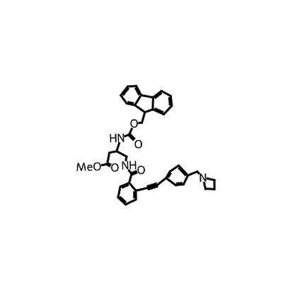 COC(=O)CC(CNC(=O)c1ccccc1C#Cc1ccc(CN2CCC2)cc1)NC(=O)OCC1c2ccccc2-c2ccccc21